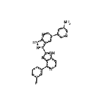 Nc1cncc(-c2cnc3[nH]nc(-c4nc5c(-c6cccc(F)c6)nccc5[nH]4)c3c2)c1